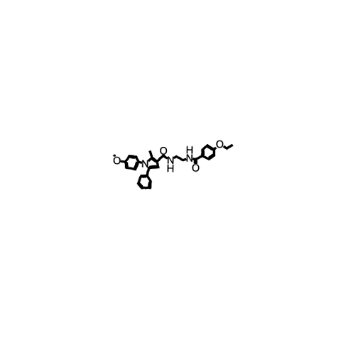 CCOc1ccc(C(=O)NCCNC(=O)c2cc(-c3ccccc3)n(-c3ccc(OC)cc3)c2C)cc1